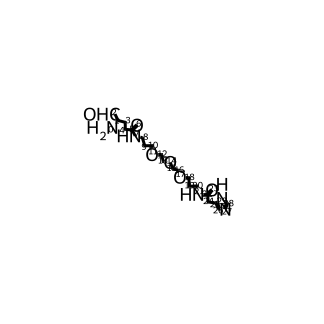 NC(C=O)CCC(=O)NCCCOCCOCCOCCCNC(=O)Cc1cnc[nH]1